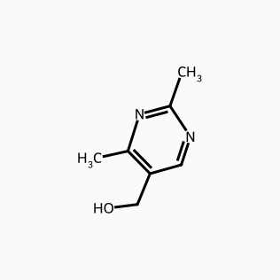 Cc1ncc(CO)c(C)n1